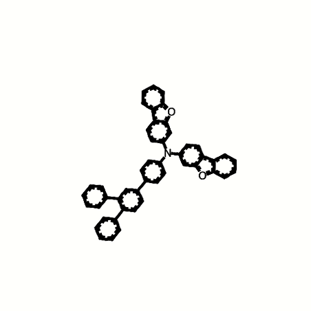 c1ccc(-c2ccc(-c3ccc(N(c4ccc5c(c4)oc4ccccc45)c4ccc5c(c4)oc4ccccc45)cc3)cc2-c2ccccc2)cc1